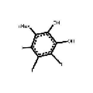 CCCCCCc1c(O)c(O)c(I)c(I)c1I